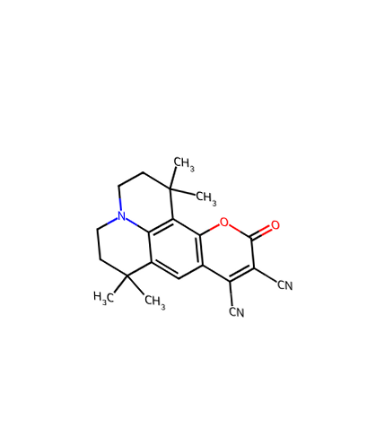 CC1(C)CCN2CCC(C)(C)c3c2c1cc1c(C#N)c(C#N)c(=O)oc31